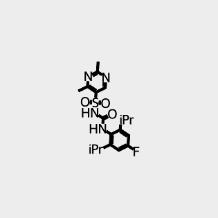 Cc1ncc(S(=O)(=O)NC(=O)Nc2c(C(C)C)cc(F)cc2C(C)C)c(C)n1